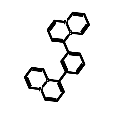 C1=CB2C(c3cccc(C4=CC=CN5C=CC=CB45)c3)=CC=CN2C=C1